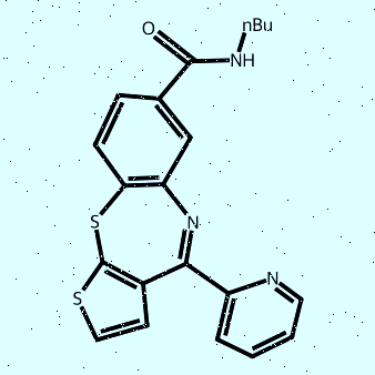 CCCCNC(=O)c1ccc2c(c1)N=C(c1ccccn1)c1ccsc1S2